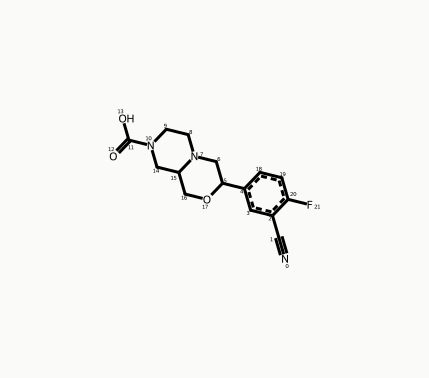 N#Cc1cc(C2CN3CCN(C(=O)O)CC3CO2)ccc1F